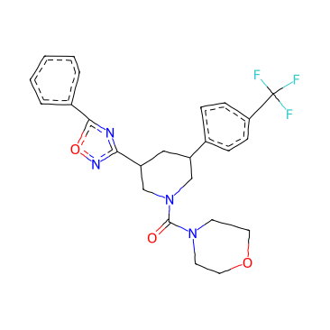 O=C(N1CCOCC1)N1CC(c2ccc(C(F)(F)F)cc2)CC(c2noc(-c3ccccc3)n2)C1